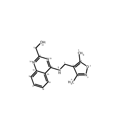 Cc1noc(C)c1CNc1nc(CO)nc2ccccc12